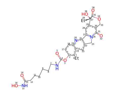 CCc1c(OC(=O)NCCCCCCC(=O)NO)ccc2nc3c(cc12)Cn1c-3cc2c(c1=O)COC(=O)[C@]2(O)CC